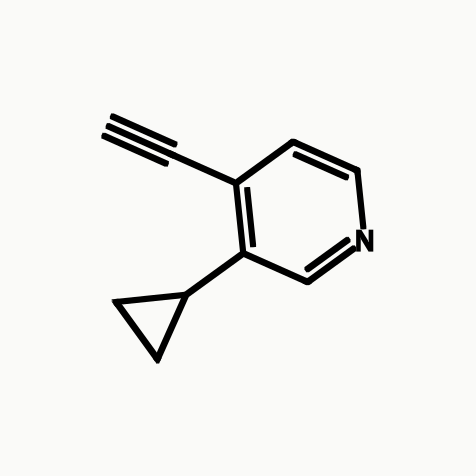 C#Cc1ccncc1C1CC1